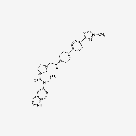 CCN(C(=O)[C@@H]1CCN(CC(=O)N2CC=C(c3ccc(-c4ncn(C)n4)cc3)CC2)C1)c1ccc2[nH]ncc2c1